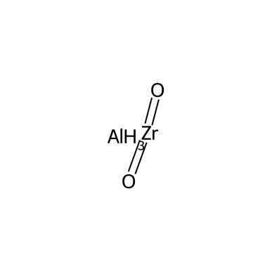 [AlH3].[O]=[Zr]=[O]